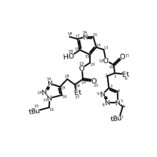 CCC(Cc1cn(CC(C)(C)C)nn1)C(=O)OCc1cnc(C)c(O)c1COC(=O)C(CC)Cc1cn(CC(C)(C)C)nn1